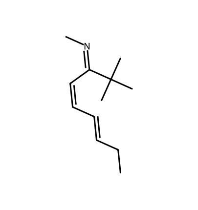 CC/C=C/C=C\C(=N/C)C(C)(C)C